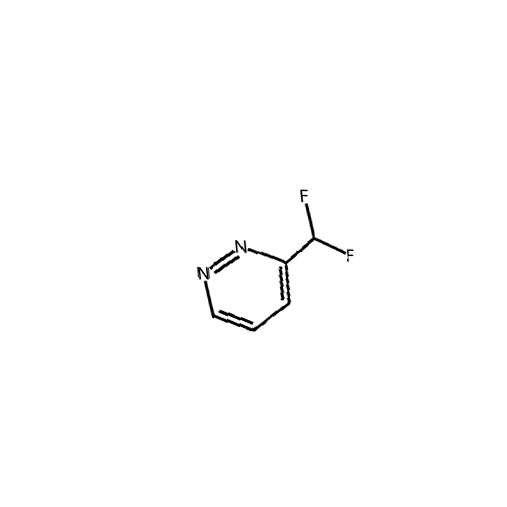 FC(F)c1cccnn1